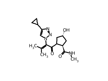 CNC(=O)[C@@H]1C[C@@H](O)CC1C(=O)C(=C(C)C)n1cc(C2CC2)nn1